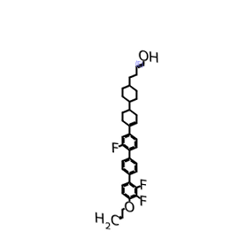 C=CCOc1ccc(-c2ccc(-c3ccc(C4=CCC(C5CCC(CC/C=C/O)CC5)CC4)cc3F)cc2)c(F)c1F